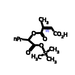 CCCC(OC(=O)/C(C)=C\C(=O)O)C(=O)O[Si](C)(C)C